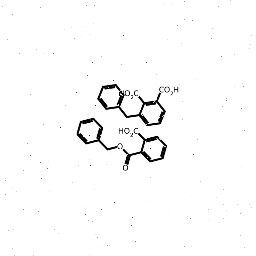 O=C(O)c1cccc(Cc2ccccc2)c1C(=O)O.O=C(O)c1ccccc1C(=O)OCc1ccccc1